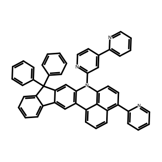 c1ccc(C2(c3ccccc3)c3ccccc3-c3cc4c(cc32)N(c2cc(-c3ccccn3)ccn2)c2ccc(-c3ccccn3)c3cccc-4c23)cc1